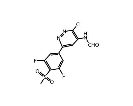 CS(=O)(=O)c1c(F)cc(-c2cc(NC=O)c(Cl)nn2)cc1F